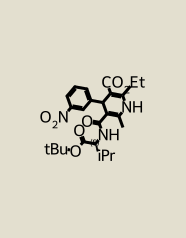 CCOC(=O)C1=C(C)NC(C)=C(C(=O)N[C@H](C(=O)OC(C)(C)C)C(C)C)C1c1cccc([N+](=O)[O-])c1